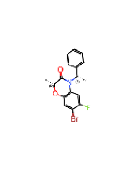 C[C@H]1Oc2cc(Br)c(F)cc2N([C@@H](C)c2ccccc2)C1=O